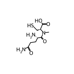 CN(C(=O)[C@@H](N)CCC(N)=O)[C@@H](CS)C(=O)O